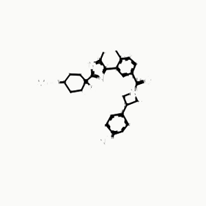 COC1CCC(O)(c2nc(C)c(-c3cc(C(=O)N4CC(c5ccc(C#N)cc5)C4)ccc3C)[nH]2)CC1